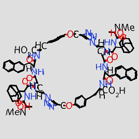 CN[C@@H](C)C(=O)N[C@H](C(=O)N1C[C@@H]2C[C@H]1C(=O)N[C@@H](Cc1ccc3ccccc3c1)C(=O)N[C@H](C(=O)O)Cc1ccc(cc1)OCc1cn(nn1)[C@H]1C[C@@H](C(=O)N[C@@H](Cc3ccc4ccccc4c3)C(=O)N[C@H](C(=O)O)Cc3ccc(cc3)OCc3cn2nn3)N(C(=O)[C@@H](NC(=O)[C@H](C)NC)C23CC4CC(CC(O)(C4)C2)C3)C1)C12CC3CC(CC(O)(C3)C1)C2